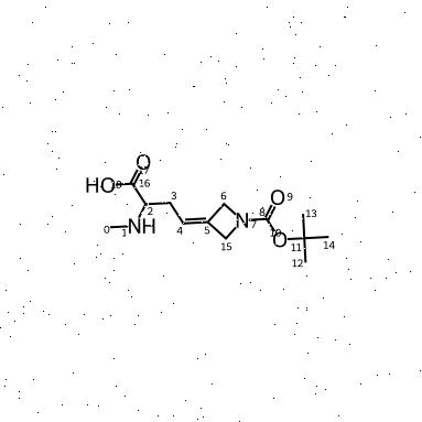 CNC(CC=C1CN(C(=O)OC(C)(C)C)C1)C(=O)O